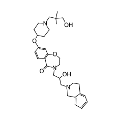 CC(C)(CO)CN1CCC(Oc2ccc3c(c2)OCCN(CC(O)CN2CCc4ccccc4C2)C3=O)CC1